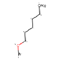 COCCCCCOC(C)C